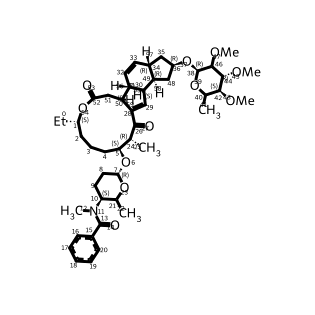 CC[C@H]1CCC[C@H](O[C@H]2CC[C@H](N(C)C(=O)c3ccccc3)C(C)O2)[C@@H](C)C(=O)C2=C[C@@H]3[C@@H](C=C[C@@H]4C[C@@H](O[C@@H]5OC(C)[C@H](OC)[C@@H](OC)C5OC)C[C@@H]34)[C@@H]2CC(=O)O1